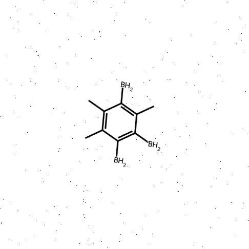 Bc1c(B)c(C)c(C)c(B)c1C